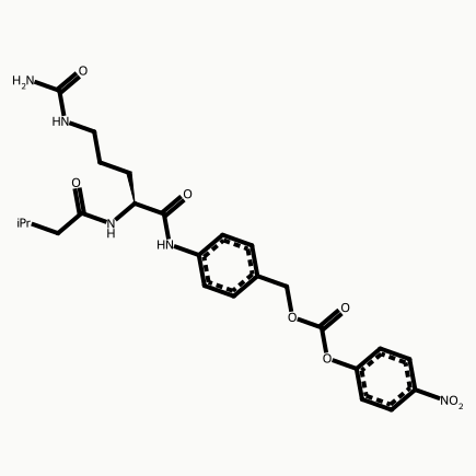 CC(C)CC(=O)N[C@@H](CCCNC(N)=O)C(=O)Nc1ccc(COC(=O)Oc2ccc([N+](=O)[O-])cc2)cc1